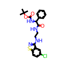 CC(C)(C)OC(=O)NC(C(=O)NCCNc1nsc2ccc(Cl)cc12)c1ccccc1